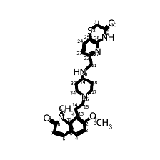 COc1ccc2ccc(=O)n(C)c2c1CCN1CCC(NCc2ccc3c(n2)NC(=O)CS3)CC1